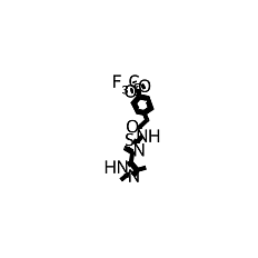 Cc1nc(C)c(-c2csc(NC(=O)Cc3ccc(S(=O)(=O)C(F)(F)F)cc3)n2)[nH]1